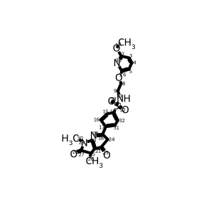 COc1cccc(OCCNS(=O)(=O)c2ccc(C3=NC4=C(C(=O)C3)C(C)C(=O)N4C)cc2)n1